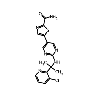 CC(C)(Nc1ncc(-c2cnc(C(N)=O)s2)cn1)c1ncccc1Cl